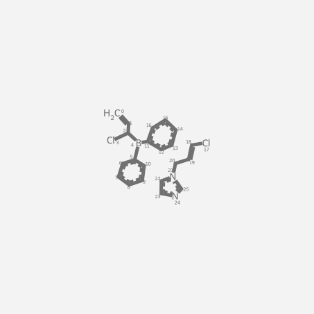 C=CC(Cl)B(c1ccccc1)c1ccccc1.ClC=CCn1ccnc1